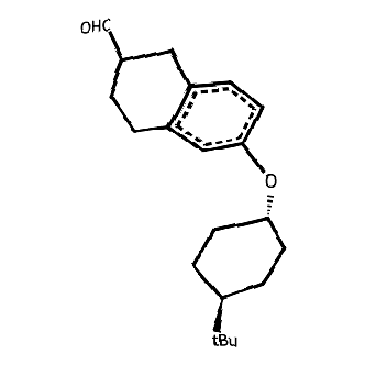 CC(C)(C)[C@H]1CC[C@H](Oc2ccc3c(c2)CCC(C=O)C3)CC1